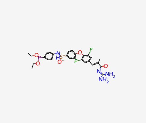 CCOP(OCC)c1ccc(N[S+]([O-])c2ccc(Oc3c(F)cc(/C=C(\C)C(=O)N=C(N)N)cc3F)cc2)cc1